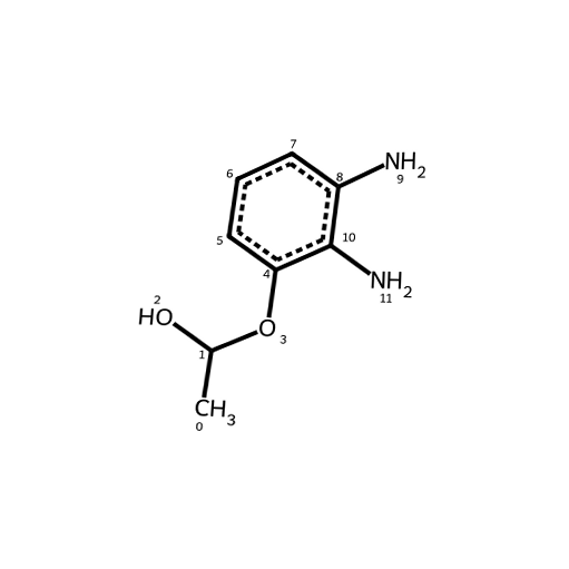 CC(O)Oc1cccc(N)c1N